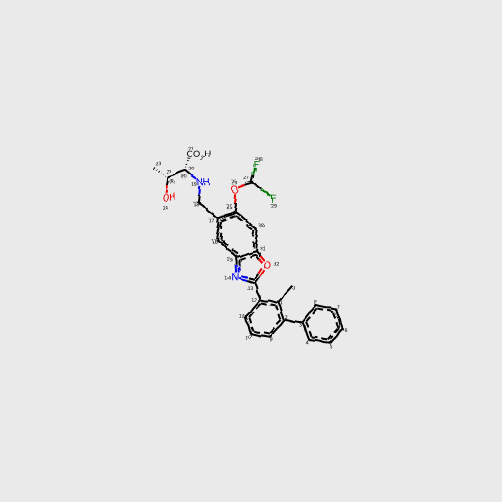 Cc1c(-c2ccccc2)cccc1-c1nc2cc(CN[C@@H](C(=O)O)[C@@H](C)O)c(OC(F)F)cc2o1